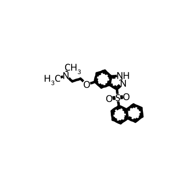 CN(C)CCOc1ccc2[nH]nc(S(=O)(=O)c3cccc4ccccc34)c2c1